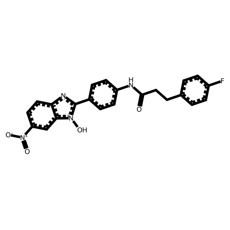 O=C(CCc1ccc(F)cc1)Nc1ccc(-c2nc3ccc([N+](=O)[O-])cc3n2O)cc1